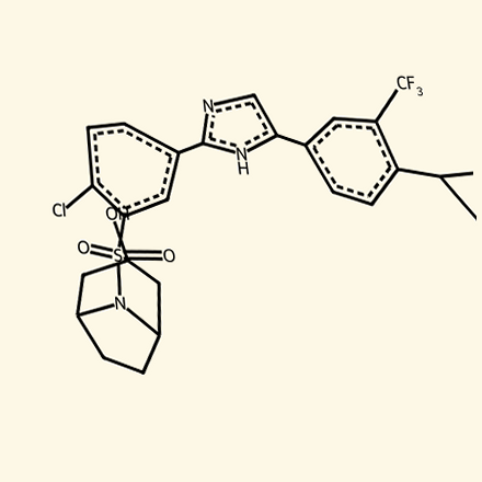 O=S(=O)(c1cc(-c2ncc(-c3ccc(C4CC4)c(C(F)(F)F)c3)[nH]2)ccc1Cl)N1C2CCC1CC(O)C2